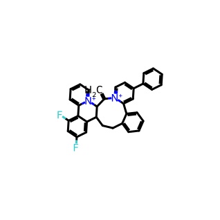 C=C1C2C(CCc3ccccc3-c3cc(-c4ccccc4)cc[n+]31)c1cc(F)cc(F)c1-c1cccc[n+]12